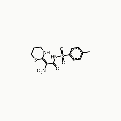 Cc1ccc(S(=O)(=O)NC(=O)C(=C2NCCCS2)[N+](=O)[O-])cc1